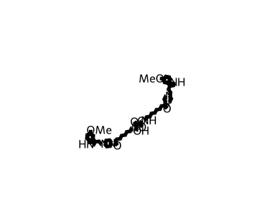 COc1ccc2[nH]cc(CCN3CCN(C(=O)CCCCCCCNOC(=O)C(=O)N(O)CCCCCCCC(=O)N4CCN(CCc5c[nH]c6ccc(OC)cc56)CC4)CC3)c2c1